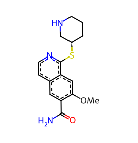 COc1cc2c(S[C@@H]3CCCNC3)nccc2cc1C(N)=O